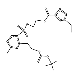 CCn1cnc(C(=O)OCCOS(=O)(=O)c2ccc(C)cc2CCNC(=O)OC(C)(C)C)n1